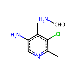 Cc1ncc(N)c(C)c1Cl.NC=O